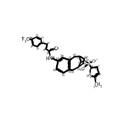 Cc1ccc(S(=O)(=O)NC2C3CCC2Cc2cc(NC(=O)/C=C/c4ccc(C(F)(F)F)cc4)ccc2C3)s1